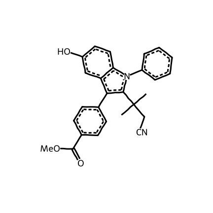 COC(=O)c1ccc(-c2c(C(C)(C)CC#N)n(-c3ccccc3)c3ccc(O)cc23)cc1